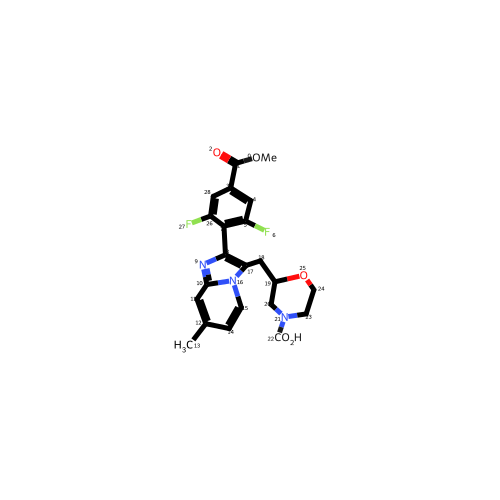 COC(=O)c1cc(F)c(-c2nc3cc(C)ccn3c2CC2CN(C(=O)O)CCO2)c(F)c1